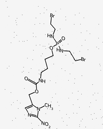 Cn1c(COC(=O)NCCCCOP(=O)(NCCBr)NCCBr)cnc1[N+](=O)[O-]